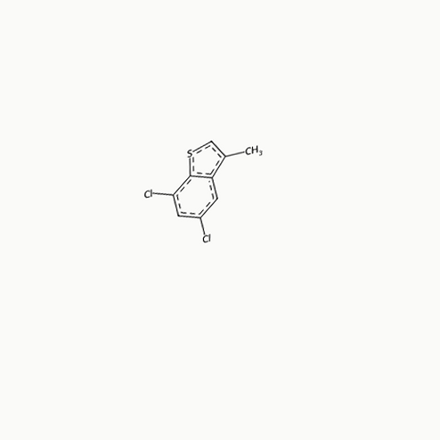 Cc1csc2c(Cl)cc(Cl)cc12